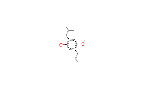 CCCc1cc(OC)c(CC(C)C)cc1OC